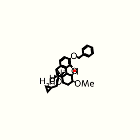 CO[C@H]1CC[C@@]2(O)[C@H]3Cc4ccc(OCc5ccccc5)c5c4[C@@]2(CC[N+]3(C)CC2CC2)[C@H]1O5